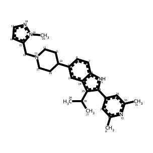 Cc1cc(-c2[nH]c3ccc(C4CCN(Cc5ccnn5C)CC4)cc3c2C(C)C)cc(C)n1